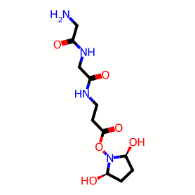 NCC(=O)NCC(=O)NCCC(=O)ON1[C@H](O)CC[C@@H]1O